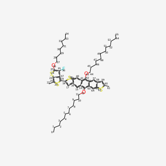 CCCCCCCCCCCCOc1c2cc3cc(-c4sc(C)c5sc(OCCCCCCCC)c(F)c45)sc3cc2c(OCCCCCCCCCCCC)c2cc3cc(C)sc3cc12